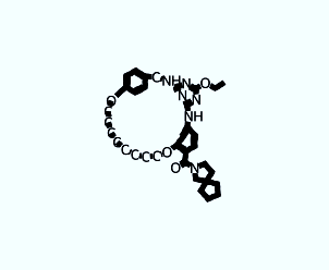 CCOc1nc2nc(n1)Nc1ccc(C(=O)N3CCC4(CCCC4)C3)c(c1)OCCCCCCCCOc1ccc(cc1)CN2